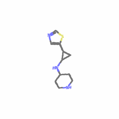 c1ncc(C2CC2NC2CCNCC2)s1